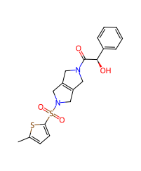 Cc1ccc(S(=O)(=O)N2CC3=C(CN(C(=O)[C@H](O)c4ccccc4)C3)C2)s1